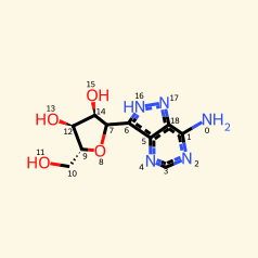 Nc1ncnc2c(C3O[C@H](CO)[C@@H](O)[C@H]3O)[nH]nc12